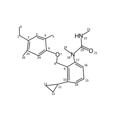 CCc1cc(C)c(OCc2c(C3CC3)cccc2N(C)C(=O)NC)cc1C